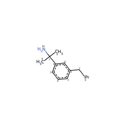 CC(C)Cc1cccc(C(C)(C)N)c1